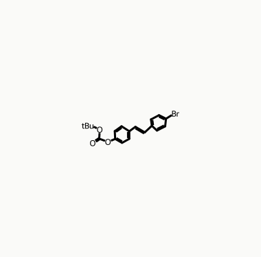 CC(C)(C)OC(=O)Oc1ccc(C=Cc2ccc(Br)cc2)cc1